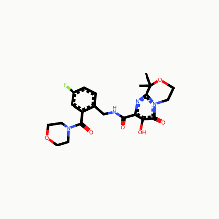 CC1(C)OCCn2c1nc(C(=O)NCc1ccc(F)cc1C(=O)N1CCOCC1)c(O)c2=O